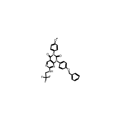 COc1ccc(-n2c(=O)c3cnc(NCC(F)(F)F)nc3n(-c3ccc(OCc4ccccc4)cc3)c2=O)cc1